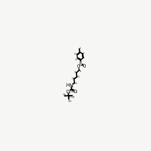 Cc1ccc(S(=O)OCCCCCNC(=O)OC(C)(C)C)cc1